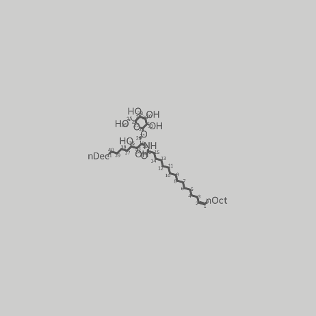 CCCCCCCC/C=C\CCCCCCCCCCCCCC(=O)N[C@@H](CO[C@H]1O[C@H](CO)[C@H](O)[C@H](O)[C@H]1O)[C@H](O)[C@H](O)CCCCCCCCCCCCCC